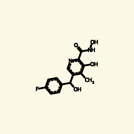 Cc1c(C(O)c2ccc(F)cc2)cnc(C(=O)NO)c1O